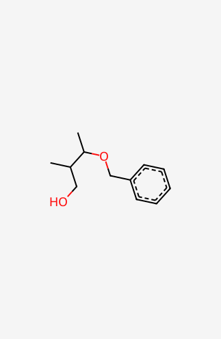 CC(CO)C(C)OCc1ccccc1